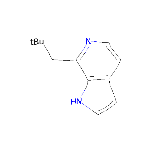 CC(C)(C)Cc1nccc2cc[nH]c12